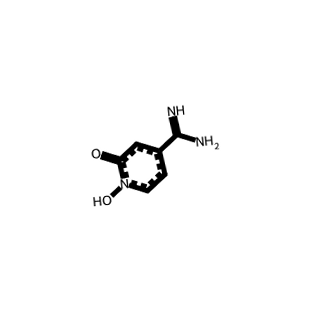 N=C(N)c1ccn(O)c(=O)c1